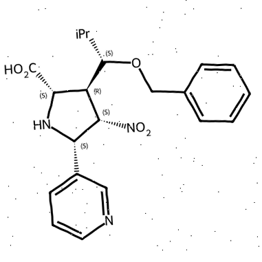 CC(C)[C@H](OCc1ccccc1)[C@H]1[C@H]([N+](=O)[O-])[C@H](c2cccnc2)N[C@@H]1C(=O)O